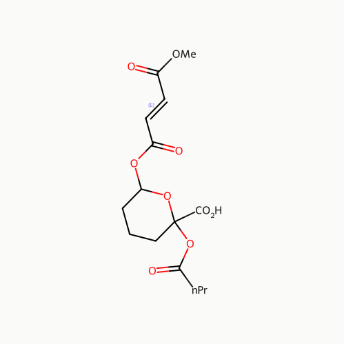 CCCC(=O)OC1(C(=O)O)CCCC(OC(=O)/C=C/C(=O)OC)O1